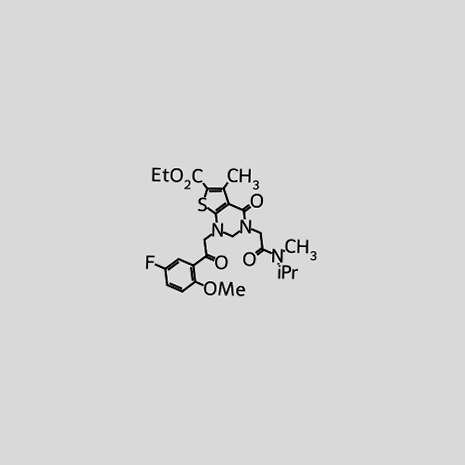 CCOC(=O)c1sc2c(c1C)C(=O)N(CC(=O)N(C)C(C)C)CN2CC(=O)c1cc(F)ccc1OC